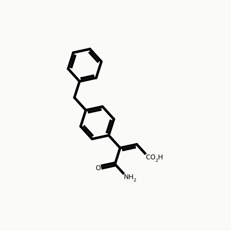 NC(=O)/C(=C\C(=O)O)c1ccc(Cc2ccccc2)cc1